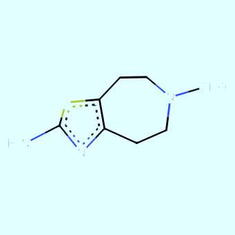 Nc1nc2c(s1)CCN(C=O)CC2